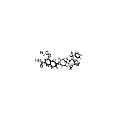 COc1cc(C(=O)O)nc2ccc(N3CCC4(CC3)CC(Cc3c(-c5ccccc5C(F)(F)F)noc3C3CC3)C4)cc12